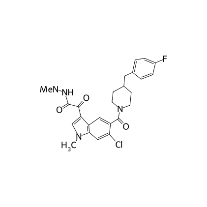 CNNC(=O)C(=O)c1cn(C)c2cc(Cl)c(C(=O)N3CCC(Cc4ccc(F)cc4)CC3)cc12